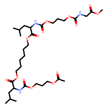 COC(=O)CNC(=O)OCCCOC(=O)NC(CC(C)C)C(=O)OCCCCCCOC(=O)C(CC(C)C)NC(=O)OCCCOC(C)=O